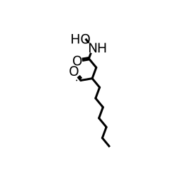 CCCCCCCC([C]=O)CC(=O)NO